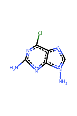 Nc1nc(Cl)c2ncn(N)c2n1